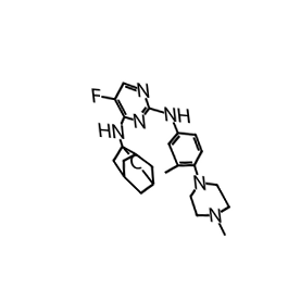 Cc1cc(Nc2ncc(F)c(NC34CC5CC(CC3C5)C4)n2)ccc1N1CCN(C)CC1